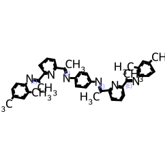 C/C(=N\c1ccc(/N=C(\C)c2cccc(/C(C)=N/c3ccc(C)cc3C)n2)cc1)c1cccc(/C(C)=N/c2ccc(C)cc2C)n1